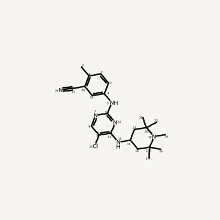 Cc1ccc(Nc2ncc(Cl)c(NC3CC(C)(C)N(C)C(C)(C)C3)n2)cc1C#N